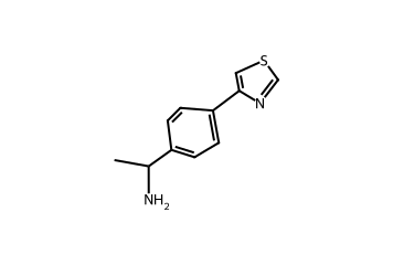 CC(N)c1ccc(-c2cscn2)cc1